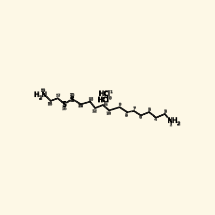 Cl.Cl.NCCCCCCCCCCCCSSCCN